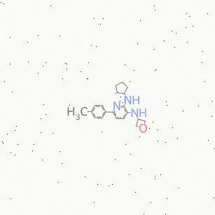 Cc1ccc(-c2ccc(NC3COC3)c(NC3CCCC3)n2)cc1